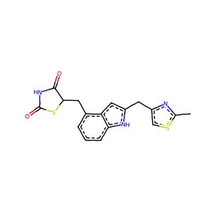 Cc1nc(Cc2cc3c(CC4SC(=O)NC4=O)cccc3[nH]2)cs1